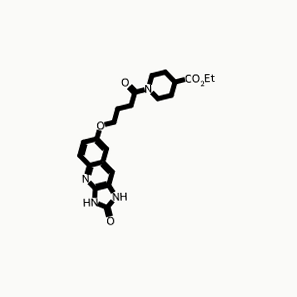 CCOC(=O)C1CCN(C(=O)CCCOc2ccc3nc4[nH]c(=O)[nH]c4cc3c2)CC1